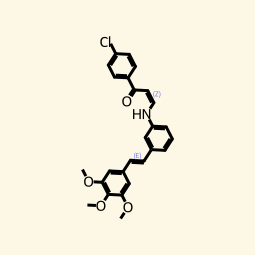 COc1cc(/C=C/c2cccc(N/C=C\C(=O)c3ccc(Cl)cc3)c2)cc(OC)c1OC